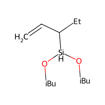 C=CC(CC)[SiH](OC(C)CC)OC(C)CC